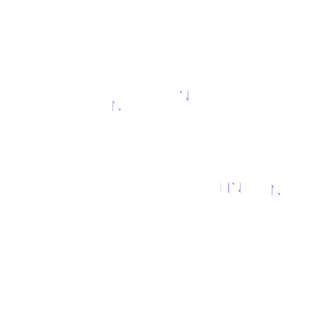 c1ccc(-c2cc(-c3ccn[nH]3)ncn2)cc1